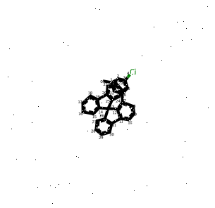 Cc1cc(Cl)cc(-c2cccc3c2C2(c4ccccc4-c4ccccc42)c2ccccc2-3)c1